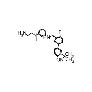 CC(C)(N=O)c1cccc(-c2ccc(F)c(SNc3cccc(NCCN)c3)c2)c1